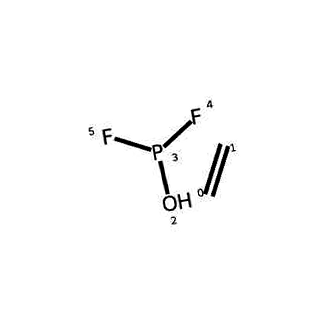 C=C.OP(F)F